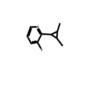 CC1C(C)C1c1ncccc1F